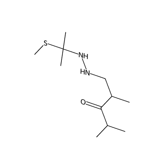 CSC(C)(C)NNCC(C)C(=O)C(C)C